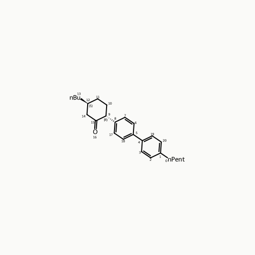 CCCCCc1ccc(-c2ccc([C@H]3CC[C@H](CCCC)CC3=O)cc2)cc1